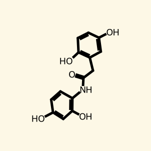 O=C(Cc1cc(O)ccc1O)Nc1ccc(O)cc1O